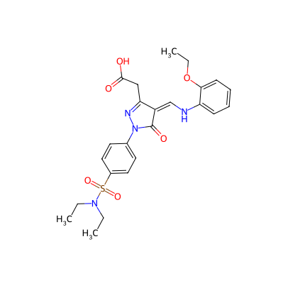 CCOc1ccccc1N/C=C1\C(=O)N(c2ccc(S(=O)(=O)N(CC)CC)cc2)N=C1CC(=O)O